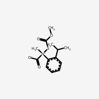 COC(=O)S[N+](C)(C(=O)[O-])c1ccccc1C(C)C